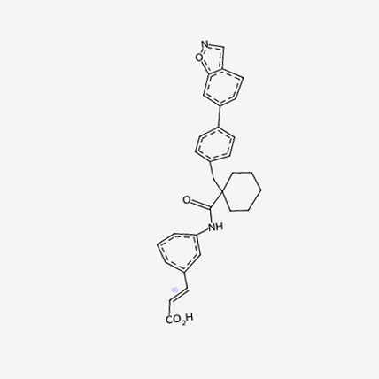 O=C(O)/C=C/c1cccc(NC(=O)C2(Cc3ccc(-c4ccc5cnoc5c4)cc3)CCCCC2)c1